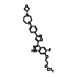 COCCOc1cc2[nH]nc(-c3cc(-c4ccc(N5CCCN(C6COC6)CC5)cc4)no3)c2cc1F